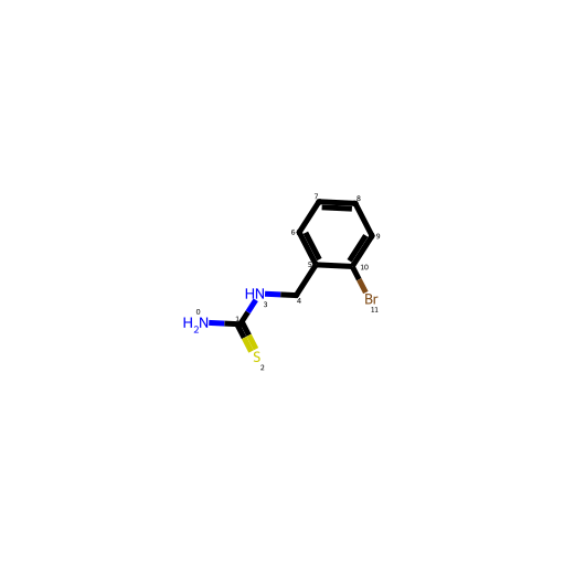 NC(=S)NCc1ccccc1Br